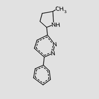 CC1CCC(c2ccc(-c3ccccc3)nn2)N1